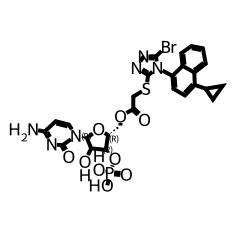 Nc1ccn([C@@H]2O[C@H](COC(=O)CSc3nnc(Br)n3-c3ccc(C4CC4)c4ccccc34)[C@H](OP(=O)(O)O)C2O)c(=O)n1